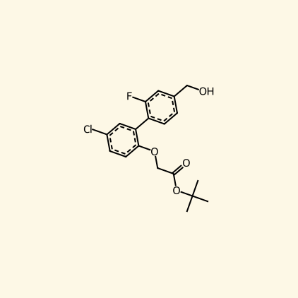 CC(C)(C)OC(=O)COc1ccc(Cl)cc1-c1ccc(CO)cc1F